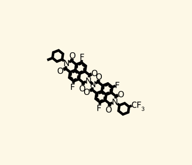 CC1CCCC(N2C(=O)c3cc(F)c4c5c(cc(F)c(c35)C2=O)C(=O)N(N2C(=O)c3cc(F)c5c6c(c(F)cc(c36)C2=O)C(=O)N(C2CCCC(C(F)(F)F)C2)C5=O)C4=O)C1